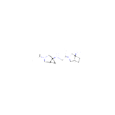 CC(C)N1CC2CC2(NCC(C)N2CC3CCC3(N)C2)C1